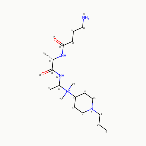 CCCN1CCC([N+](C)(C)C(C)NC(=O)[C@H](C)NC(=O)CCCN)CC1